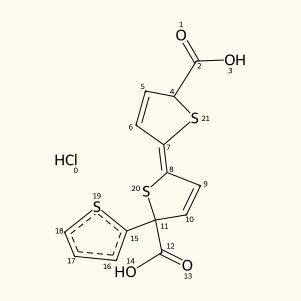 Cl.O=C(O)C1C=CC(=C2C=CC(C(=O)O)(c3cccs3)S2)S1